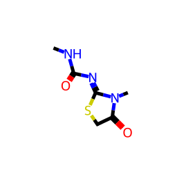 CNC(=O)/N=C1\SCC(=O)N1C